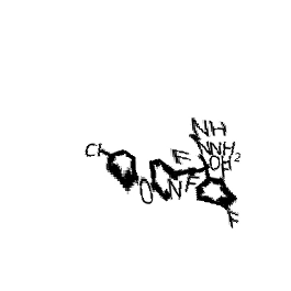 N=CN(N)CC(O)(c1ccc(F)cc1F)C(F)(F)c1ccc(Oc2ccc(Cl)cc2)cn1